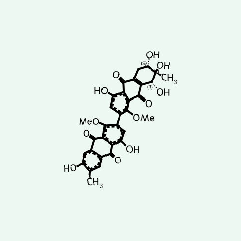 COc1c(-c2cc(O)c3c(c2OC)C(=O)c2cc(O)c(C)cc2C3=O)cc(O)c2c1C(=O)C1=C(C[C@H](O)[C@](C)(O)[C@@H]1O)C2=O